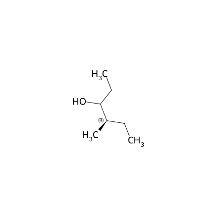 CCC(O)[C@H](C)CC